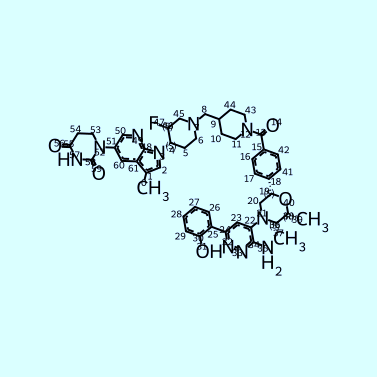 Cc1cn([C@H]2CCN(CC3CCN(C(=O)c4ccc([C@H]5CN(c6cc(-c7ccccc7O)nnc6N)[C@@H](C)[C@@H](C)O5)cc4)CC3)C[C@@H]2F)c2ncc(N3CCC(=O)NC3=O)cc12